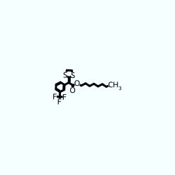 CCCCCCCCOC(=O)C(=C1SCCS1)c1cccc(C(F)(F)F)c1